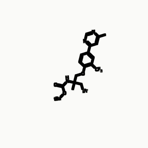 Cc1cc(-c2ccc(OCC(C)(CC(C)C)NC(=O)OC(C)(C)C)c(C(F)(F)F)c2)ncn1